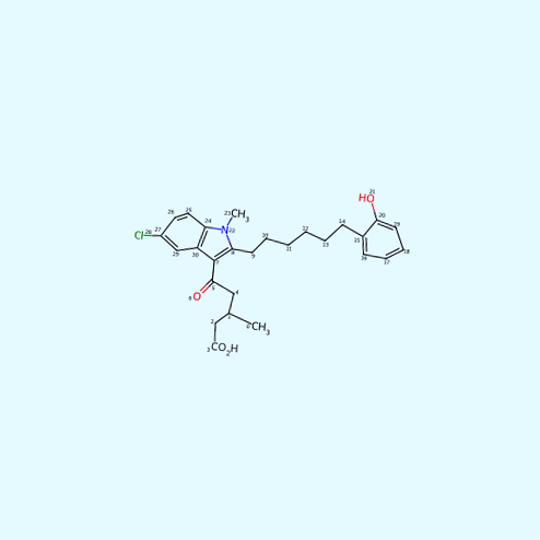 CC(CC(=O)O)CC(=O)c1c(CCCCCCc2ccccc2O)n(C)c2ccc(Cl)cc12